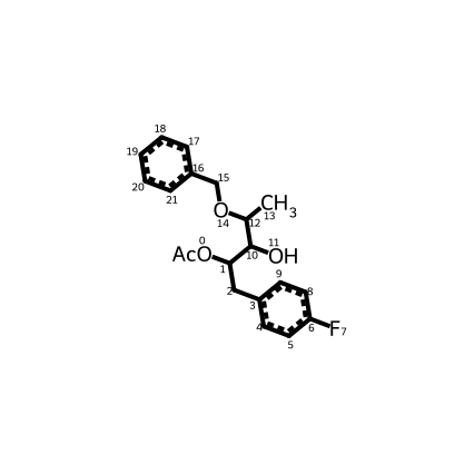 CC(=O)OC(Cc1ccc(F)cc1)C(O)C(C)OCc1ccccc1